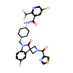 O=C(N[C@H]1CC[C@H](CN2C(=O)C3(CN(C(=O)c4cscn4)C3)c3cc(F)ccc32)CC1)c1cc(Cl)cnc1C(F)F